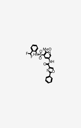 COc1ncc(NC(=O)c2coc(-c3ccccc3)n2)cc1S(=O)(=O)Nc1ccccc1C(F)F